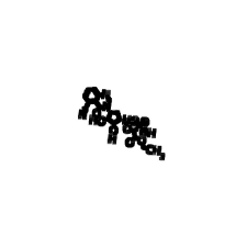 CCOC(=O)C(OC[C@H]1C[C@@H](n2cnc3cccc(C#N)c3c2=O)[C@H](O)[C@@H]1O)P(=O)(O)O